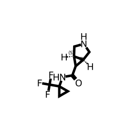 O=C(NC1(C(F)(F)F)CC1)C1[C@H]2CNC[C@@H]12